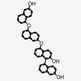 Oc1ccc2c(Oc3cccc4cc(Oc5cccc6c(-c7cccc8cc(O)ccc78)c(O)ccc56)ccc34)cccc2c1